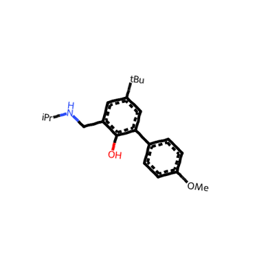 COc1ccc(-c2cc(C(C)(C)C)cc(CNC(C)C)c2O)cc1